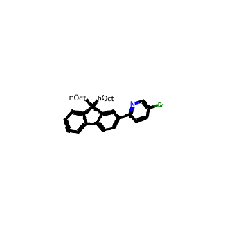 CCCCCCCCC1(CCCCCCCC)c2ccccc2-c2ccc(-c3ccc(Br)cn3)cc21